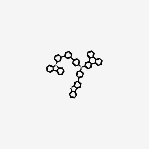 c1cc(-c2ccc(N(c3ccc(-c4ccc5c(c4)oc4ccccc45)cc3)c3ccc4c5ccccc5c5ccccc5c4c3)cc2)cc(-c2cccc(-n3c4ccccc4c4ccccc43)c2)c1